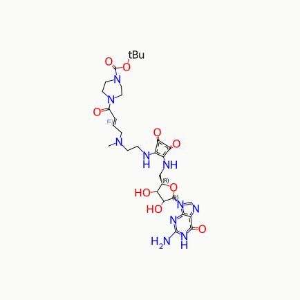 CN(C/C=C/C(=O)N1CCN(C(=O)OC(C)(C)C)CC1)CCNc1c(NC[C@H]2O[C@@H](n3cnc4c(=O)[nH]c(N)nc43)C(O)C2O)c(=O)c1=O